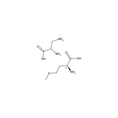 CSCC[C@H](N)C(=O)O.NCC(N)C(=O)O